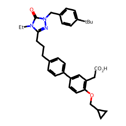 CCn1c(CCCc2ccc(-c3ccc(OCC4CC4)c(CC(=O)O)c3)cc2)nn(Cc2ccc(C(C)(C)C)cc2)c1=O